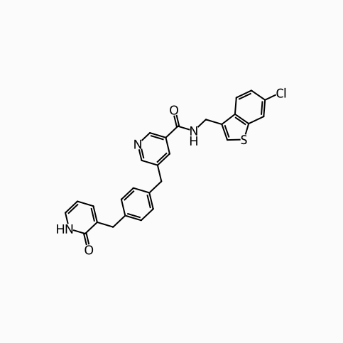 O=C(NCc1csc2cc(Cl)ccc12)c1cncc(Cc2ccc(Cc3ccc[nH]c3=O)cc2)c1